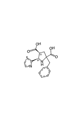 O=C(O)[C@H]1CC(Cc2ccccc2)(C(=O)O)N[C@H]1c1nccs1